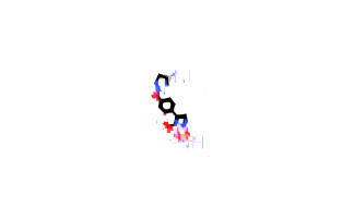 NC[C@H]1CCN(C(=O)c2ccc(-c3ccn(S(N)(=O)=O)c3C(=O)O)cc2)C1